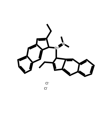 CCC1=Cc2cc3ccccc3cc2[CH]1[Zr+2]([CH]1C(CC)=Cc2cc3ccccc3cc21)=[Si](C)C.[Cl-].[Cl-]